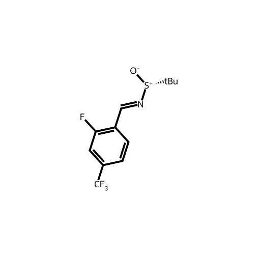 CC(C)(C)[S@@+]([O-])N=Cc1ccc(C(F)(F)F)cc1F